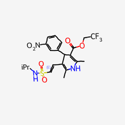 CC1=C(/C=C/S(=O)(=O)NC(C)C)C(c2cccc([N+](=O)[O-])c2)C(C(=O)OCC(F)(F)F)=C(C)N1